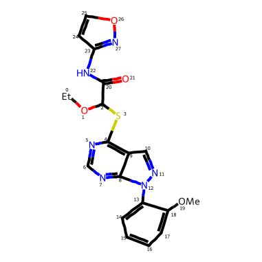 CCOC(Sc1ncnc2c1cnn2-c1ccccc1OC)C(=O)Nc1ccon1